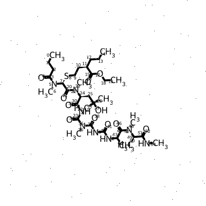 CCCC(=O)N(C)[C@H](SCC[C@@H](CCC)C(=O)OCC)C(=O)N(C)[C@@H](CC(C)(C)O)C(=O)NC(=O)N(C)C(=O)NC(=O)NC(C)C(=O)N(C)[C@H](C)C(=O)NC